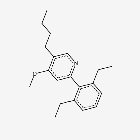 CCCCc1cnc(-c2c(CC)cccc2CC)cc1OC